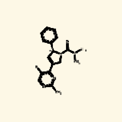 Cc1ncc(F)c(C2=C[C@@H](c3ccccc3)N(C(=O)N(C)C)C2)n1